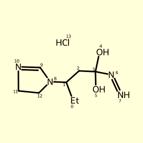 CCC(CC(O)(O)N=N)N1C=NCC1.Cl